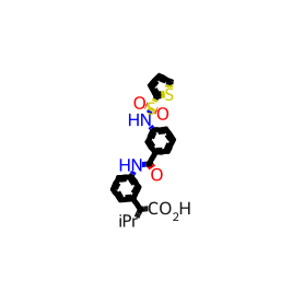 CC(C)C(C(=O)O)c1cccc(NC(=O)c2cccc(NS(=O)(=O)c3cccs3)c2)c1